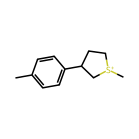 Cc1ccc(C2CC[S+](C)C2)cc1